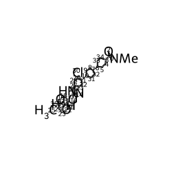 CNC(=O)c1ccc(-c2ccc(-c3cc4nc(O[C@@H]5CO[C@H]6[C@@H]5OC[C@H]6C)[nH]c4cc3Cl)cc2)cc1